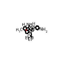 CCOC(CN1C(=O)C(NC(=O)Nc2ccc(N)cc2)(C(C(N)=O)c2ccc(C)cc2)c2ccccc21)OCC